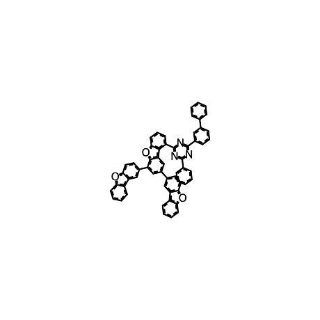 c1ccc(-c2cccc(-c3nc(-c4ccccc4)nc(-c4cccc5oc6c(-c7ccc8oc9ccccc9c8c7)cc(-c7ccc8oc9ccccc9c8c7)cc6c45)n3)c2)cc1